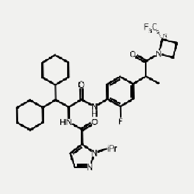 CC(C(=O)N1CC[C@H]1C(F)(F)F)c1ccc(NC(=O)C(NC(=O)c2ccnn2C(C)C)C(C2CCCCC2)C2CCCCC2)c(F)c1